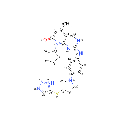 Cc1cc(=O)n(C2CCCC2)c2nc(Nc3ccc(N4CCC(Sc5cnn[nH]5)C4)cc3)ncc12